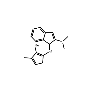 CCCCC1=[C]([Hf][CH]2C(P(C)C)=Cc3ccccc32)CC=C1C